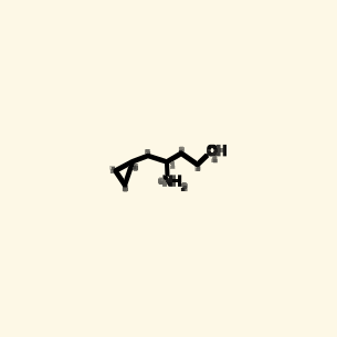 NC(CCO)CC1CC1